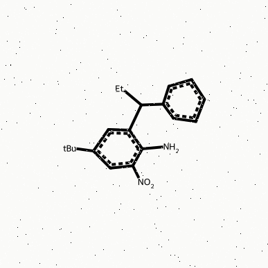 CCC(c1ccccc1)c1cc(C(C)(C)C)cc([N+](=O)[O-])c1N